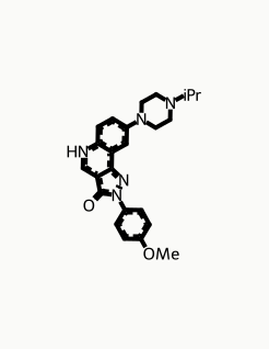 COc1ccc(-n2nc3c4cc(N5CCN(C(C)C)CC5)ccc4[nH]cc-3c2=O)cc1